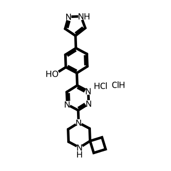 Cl.Cl.Oc1cc(-c2cn[nH]c2)ccc1-c1cnc(N2CCNC3(CCC3)C2)nn1